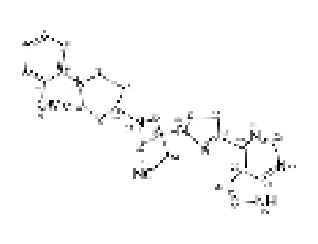 COc1ccccc1N1CCC(N2CC(CC#N)(n3ccc(-c4ncnc5[nH]ccc45)c3)C2)CC1